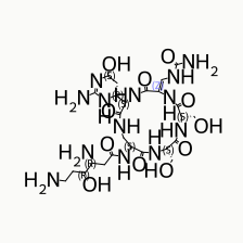 NCC[C@@H](O)[C@H](N)CC(=O)N[C@H]1CNC(=O)[C@H]([C@H]2C[C@H](O)N=C(N)N2)NC(=O)/C(=C/NC(N)=O)NC(=O)[C@H](CO)NC(=O)[C@H](CO)NC1=O